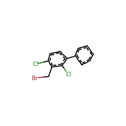 Clc1ccc(-c2ccccc2)c(Cl)c1CBr